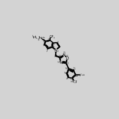 Nc1ccc2c(ccn2Cc2noc(-c3ccc(Cl)c(F)c3)n2)c1C(F)(F)F